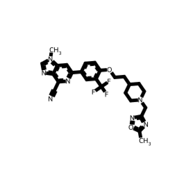 Cc1nc(CN2CCC(CCOc3ccc(-c4cc5c(ncn5C)c(C#N)n4)cc3C(F)(F)F)CC2)no1